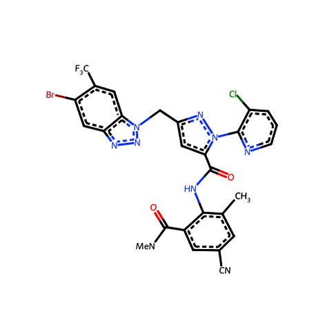 CNC(=O)c1cc(C#N)cc(C)c1NC(=O)c1cc(Cn2nnc3cc(Br)c(C(F)(F)F)cc32)nn1-c1ncccc1Cl